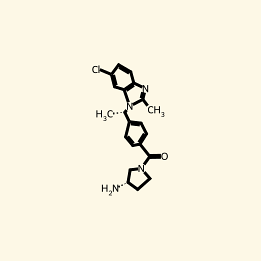 Cc1nc2ccc(Cl)cc2n1[C@@H](C)c1ccc(C(=O)N2CC[C@H](N)C2)cc1